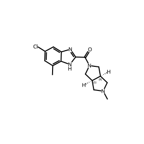 Cc1cc(Cl)cc2nc(C(=O)N3C[C@H]4CN(C)C[C@H]4C3)[nH]c12